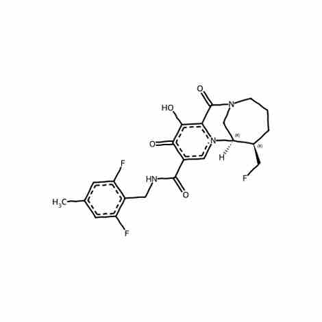 Cc1cc(F)c(CNC(=O)c2cn3c(c(O)c2=O)C(=O)N2CCC[C@@H](CF)[C@@H]3C2)c(F)c1